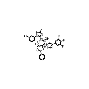 Cc1nc([C@@H]2O[C@@H]3COC(c4ccccc4)O[C@@H]3[C@H](n3cc(-c4cc(F)c(F)c(F)c4)nn3)[C@H]2O)n(-c2cccc(Cl)c2)n1